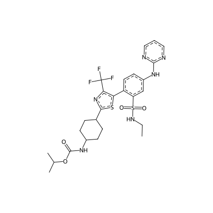 CCNS(=O)(=O)c1cc(Nc2ncccn2)ccc1-c1sc(C2CCC(NC(=O)OC(C)C)CC2)nc1C(F)(F)F